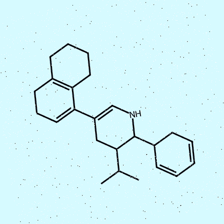 CC(C)C1CC(C2=CCCC3=C2CCCC3)=CNC1C1C=CC=CC1